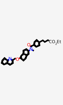 CCOC(=O)CCCc1ccc(C(=O)N(C)c2ccc3cc(OCc4ccc5ccccc5n4)ccc3c2)cc1